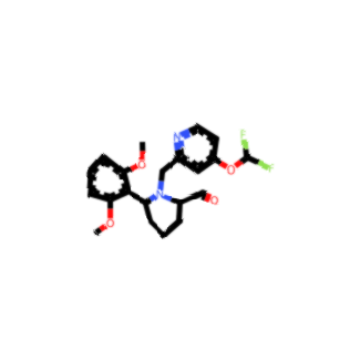 COc1cccc(OC)c1C1CCCC(C=O)N1Cc1cc(OC(F)F)ccn1